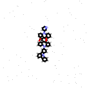 c1cncc(N2c3ccccc3C3(c4ccccc42)c2ccccc2C2(c4ccccc4N(c4ccc5c(c4)c4cccc6c7ccccc7n5c64)c4ccccc42)c2ccccc23)c1